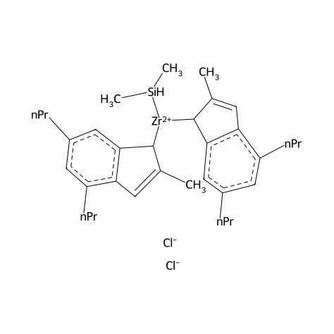 CCCc1cc(CCC)c2c(c1)[CH]([Zr+2]([CH]1C(C)=Cc3c(CCC)cc(CCC)cc31)[SiH](C)C)C(C)=C2.[Cl-].[Cl-]